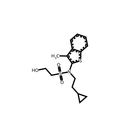 Cc1c(N(CCC2CC2)S(=O)(=O)CCO)sc2ccccc12